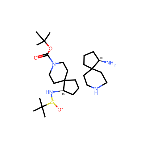 CC(C)(C)OC(=O)N1CCC2(CCC[C@H]2N[S+]([O-])C(C)(C)C)CC1.N[C@@H]1CCCC12CCNCC2